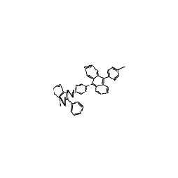 Cc1ccc(-c2c3ccccc3c(-c3ccc(-n4c(-c5ccccc5)nc5c4C=CCC5)cc3)c3ccccc23)cc1